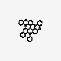 c1ccc(-n2c3ccc4oc5ccccc5n5c6ccc7oc8ccccc8n8c9cc%10ccccc%10c2c9p(c3c45)c6c78)cc1